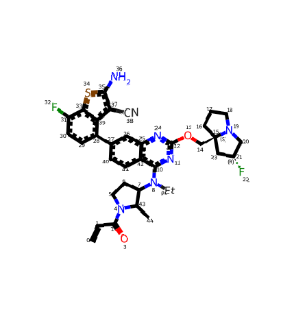 C=CC(=O)N1CCC(N(CC)c2nc(OC[C@@]34CCCN3C[C@H](F)C4)nc3cc(-c4ccc(F)c5sc(N)c(C#N)c45)ccc23)C1C